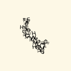 COc1ccc(S(C)(=O)=O)c(CC(=O)Nc2cc([C@H]3CC[C@@H](OC(=O)NCCC(F)(F)F)C3)[nH]n2)c1